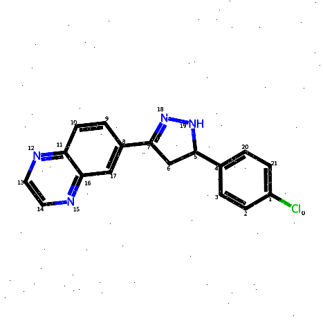 Clc1ccc(C2CC(c3ccc4nccnc4c3)=NN2)cc1